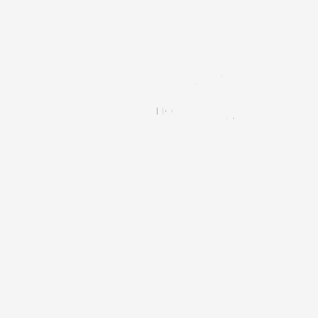 CCCCCCCCCCC(Oc1cccs1)C(=O)O